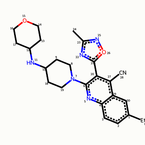 CCc1ccc2nc(N3CCC(NC4CCOCC4)CC3)c(-c3nc(C)no3)c(C#N)c2c1